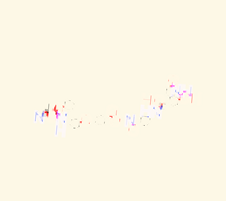 O=C(NC(c1ccccc1)c1cccc(OCc2ccc(C(=O)OCCN(C(=O)c3ccc(CNC[C@H](O)c4ccc(O)c5[nH]c(=O)ccc45)cc3)C3CCCCC3)cc2)c1)O[C@H]1CN2CCC1CC2